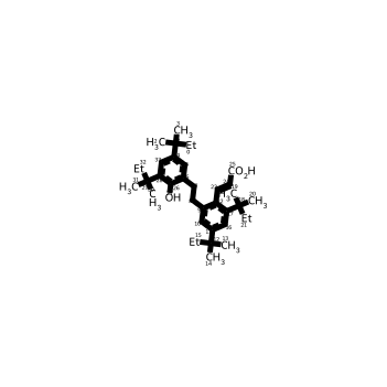 CCC(C)(C)c1cc(CCc2cc(C(C)(C)CC)cc(C(C)(C)CC)c2C=CC(=O)O)c(O)c(C(C)(C)CC)c1